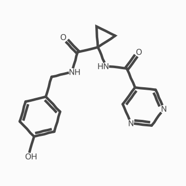 O=C(NC1(C(=O)NCc2ccc(O)cc2)CC1)c1cncnc1